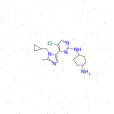 Cc1ncc(-c2nc(NC3CCC(N)CC3)ncc2Cl)n1CC1CC1